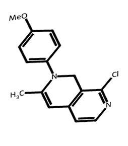 COc1ccc(N2Cc3c(ccnc3Cl)C=C2C)cc1